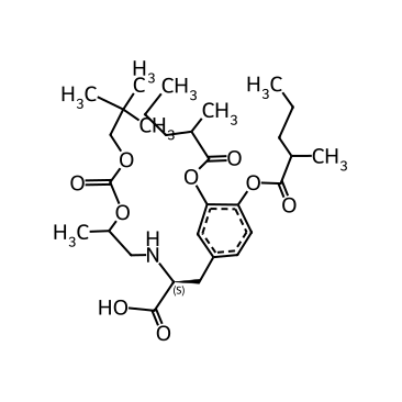 CCCC(C)C(=O)Oc1ccc(C[C@H](NCC(C)OC(=O)OCC(C)(C)C)C(=O)O)cc1OC(=O)C(C)CCC